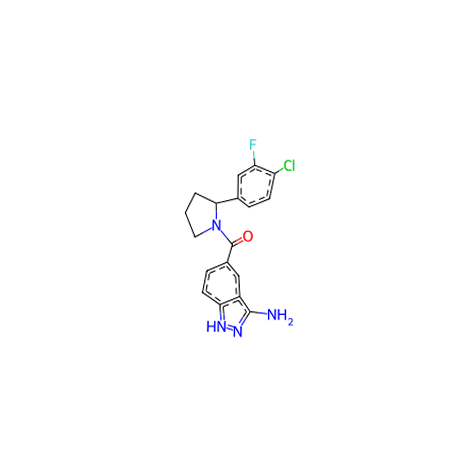 Nc1n[nH]c2ccc(C(=O)N3CCCC3c3ccc(Cl)c(F)c3)cc12